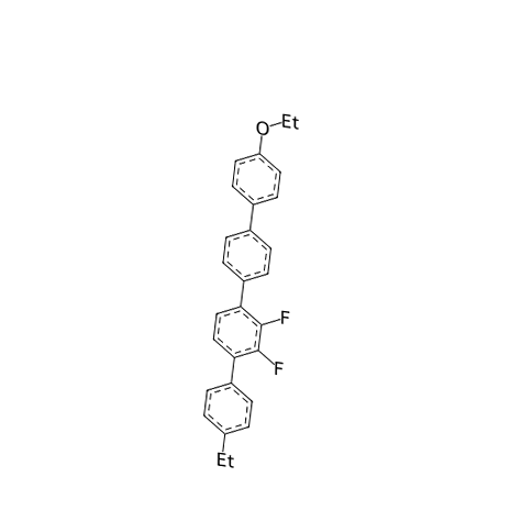 CCOc1ccc(-c2ccc(-c3ccc(-c4ccc(CC)cc4)c(F)c3F)cc2)cc1